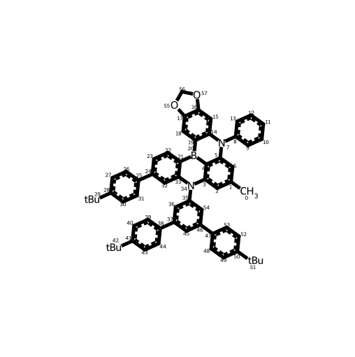 Cc1cc2c3c(c1)N(c1ccccc1)c1cc4c(cc1B3c1ccc(-c3ccc(C(C)(C)C)cc3)cc1N2c1cc(-c2ccc(C(C)(C)C)cc2)cc(-c2ccc(C(C)(C)C)cc2)c1)OCO4